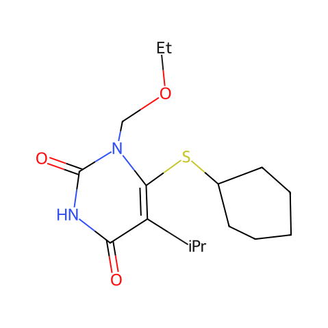 CCOCn1c(SC2CCCCC2)c(C(C)C)c(=O)[nH]c1=O